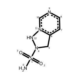 NS(=O)(=O)N1Cc2ccnc[n+]2N1